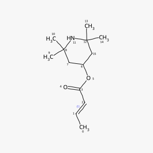 C/C=C/C(=O)OC1CC(C)(C)NC(C)(C)C1